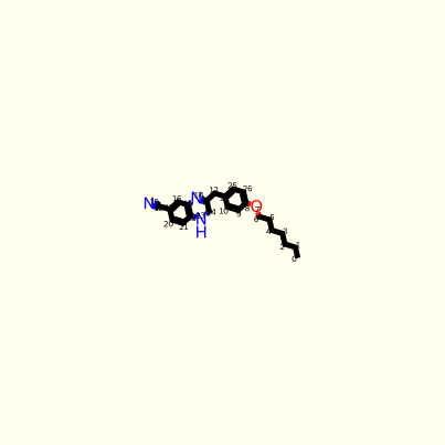 CCCCCCCOc1ccc(CC2=Nc3cc(C#N)ccc3NC2)cc1